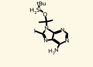 CC(C)(C)[SiH2]OC(C)(C)n1c(I)nc2c(N)ncnc21